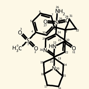 CS(=O)(=O)c1cccc(C2(C(=O)NC3CC4CCC(C3)N4c3ccc(S(N)(=O)=O)cn3)CC2)c1